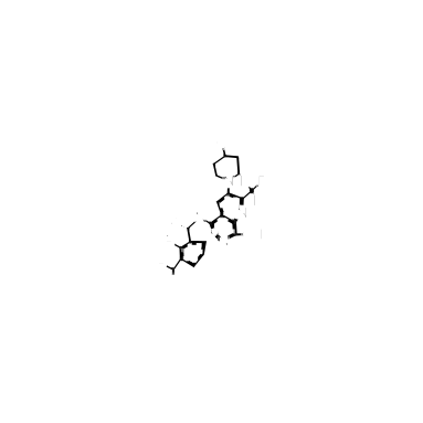 Cc1nnc(N[C@H](C)c2cccc(C(F)F)c2F)c2cc(N3CCC(O)CC3)c(C(F)(F)F)nc12